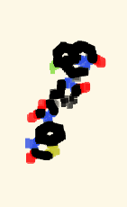 CC(=O)N(CCC[C@@H]1CN(c2ccc3c(c2)NC(=O)CS3)C(=O)O1)[C@H]1Cn2c(=O)ccc3ccc(F)c1c32